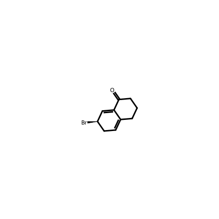 O=C1CCCC2=CC[C@@H](Br)C=C12